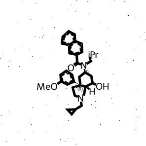 COc1cccc([C@@]23CCN(CC4CC4)C[C@H]2C(O)C[C@H](N(CC(C)C)C(=O)c2ccc4ccccc4c2)C3)c1